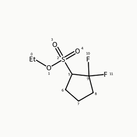 CCOS(=O)(=O)C1CCCC1(F)F